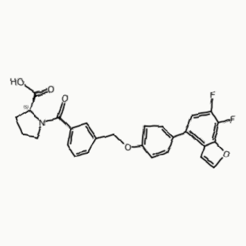 O=C(O)[C@@H]1CCCN1C(=O)c1cccc(COc2ccc(-c3cc(F)c(F)c4occc34)cc2)c1